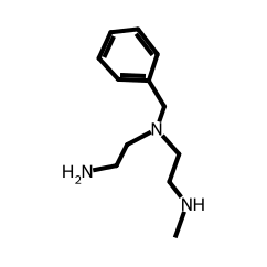 CNCCN(CCN)Cc1ccccc1